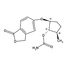 C[C@@H]1CC[C@H](Oc2ccc3c(c2)COC3=O)[C@H]1OC(N)=O